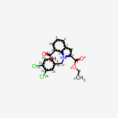 CCOC(=O)c1cc2cccc(C(C)=O)c2n1Cc1ccc(Cl)c(Cl)c1